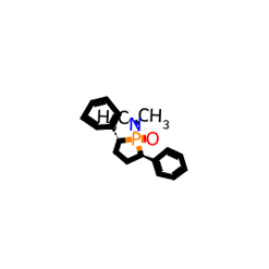 CN(C)P1(=O)[C@@H](c2ccccc2)CC[C@@H]1c1ccccc1